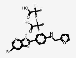 Brc1cnc2[nH]c(-c3ccc(NCc4ccco4)cc3)nc2c1.O=C(O)C(F)(F)F.O=C(O)C(F)(F)F